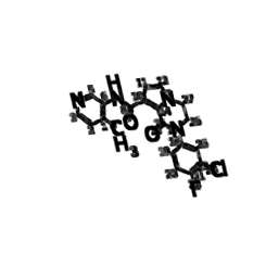 Cc1ccncc1NC(=O)c1ccn2c1C(=O)N(c1ccc(F)c(Cl)c1)CC2